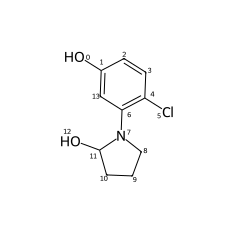 Oc1ccc(Cl)c(N2CCCC2O)c1